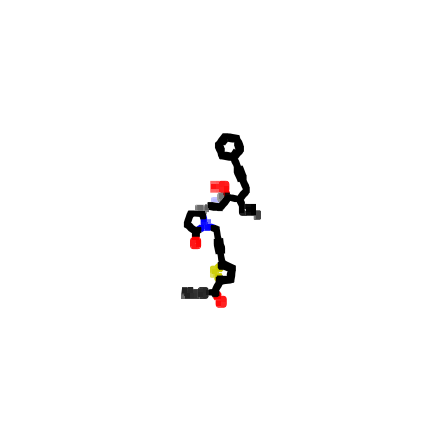 COC(=O)c1ccc(C#CCN2C(=O)CC[C@@H]2/C=C/[C@@H](O)C(C)CC#Cc2ccccc2)s1